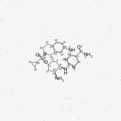 NC(=O)c1cnc(N[C@@H]2CCCC[C@@H]2N)nc1Nc1ccc2c(c1)CN(S(=O)(=O)C1CC1)CC2